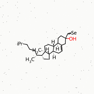 CC(C)CCC[C@@H](C)[C@H]1CC[C@H]2[C@@H]3CC=C4CC(O)(C=[Se])CC[C@@H]4[C@H]3CC[C@]12C